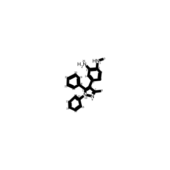 CNc1ccc(-c2c(C)nn(-c3ccccc3)c2-c2ccccc2)cc1N